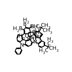 Bc1c(B)c(B)c(-c2cccc3c2c2c(C(C)(C)C)c(-n4c5ccc(C(C)(C)C)cc5c5cc(C(C)(C)C)ccc54)ccc2n3-c2ccccc2)c(B)c1B